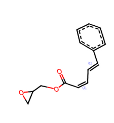 O=C(/C=C\C=C\c1ccccc1)OCC1CO1